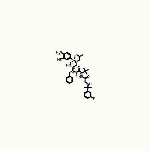 CC(C)CN(C[C@@H](O)[C@H](Cc1ccccc1)NC(=O)[C@@H](NC(=O)CNC(C)(C)c1cccc(F)c1)C(C)(C)C)S(=O)(=O)c1ccc(N)c(S)c1